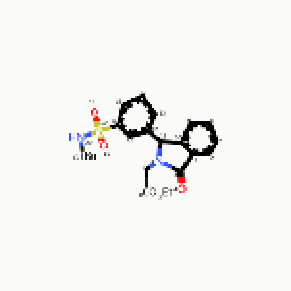 CCOC(=O)CN1C(=O)c2ccccc2C1c1cccc(S(=O)(=O)NC(C)(C)C)c1